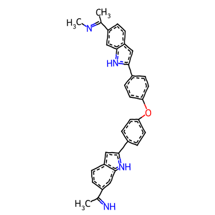 CN=C(C)c1ccc2cc(-c3ccc(Oc4ccc(-c5cc6ccc(C(C)=N)cc6[nH]5)cc4)cc3)[nH]c2c1